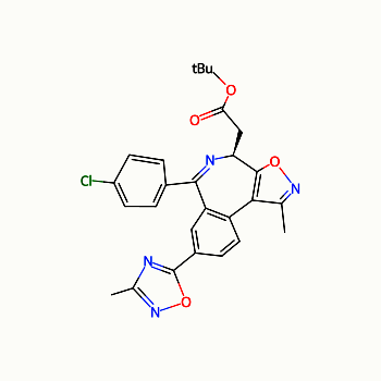 Cc1noc(-c2ccc3c(c2)C(c2ccc(Cl)cc2)=N[C@@H](CC(=O)OC(C)(C)C)c2onc(C)c2-3)n1